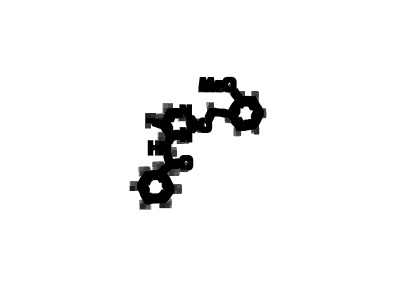 COc1ccccc1COc1ncc(F)c(NC(=O)c2ccccc2)n1